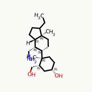 CCC1CC[C@H]2[C@@H](CN)[C@@H]([C@@]3(C)CC[C@H](O)C[C@@H]3CO)CC[C@]12C